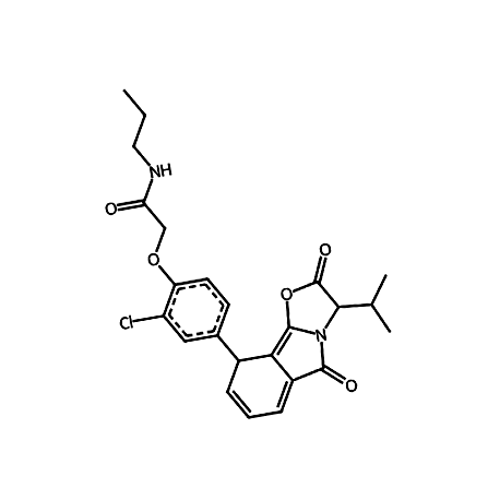 CCCNC(=O)COc1ccc(C2C=CC=C3C(=O)N4C(=C32)OC(=O)C4C(C)C)cc1Cl